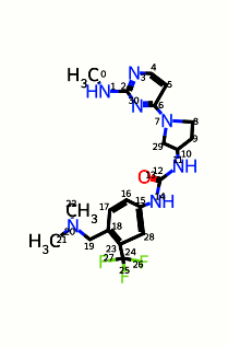 CNc1nccc(N2CCC(NC(=O)Nc3ccc(CN(C)C)c(C(F)(F)F)c3)C2)n1